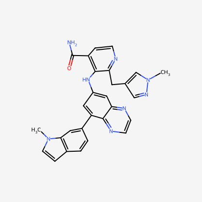 Cn1cc(Cc2nccc(C(N)=O)c2Nc2cc(-c3ccc4ccn(C)c4c3)c3nccnc3c2)cn1